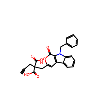 C#CCC(Cc1cc2c3ccccc3n(Cc3ccccc3)c2c(=O)o1)(C(=O)O)C(=O)O